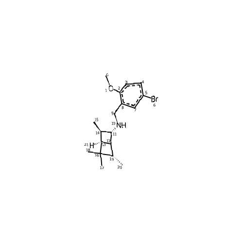 COc1ccc(Br)cc1CN[C@@H]1C2[C@H]([C@H]1C)C(C)(C)[C@H]2C